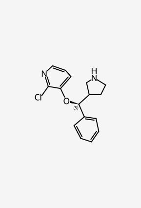 Clc1ncccc1O[C@H](c1ccccc1)C1CCNC1